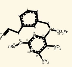 C=CCc1cccc(CN(C(=O)OCC)c2nc(OCCCC)nc(N)c2[N+](=O)[O-])c1